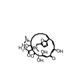 CNCc1ccc(C2=C\CCCC[C@H](N(C)C)/C(O)=C(/C(N)=O)C(=O)I(O)/C(O)=C/C(=O)/C=C(O)/C=C\2)o1